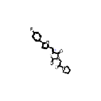 O=C(CN1C(=O)S/C(=C\c2ccc(-c3ccc(F)cc3)o2)C1=O)N1CCCC1